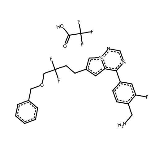 NCc1ccc(-c2ncnn3cc(CCC(F)(F)COCc4ccccc4)cc23)cc1F.O=C(O)C(F)(F)F